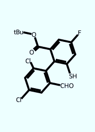 CC(C)(C)OC(=O)c1cc(F)cc(S)c1-c1c(Cl)cc(Cl)cc1C=O